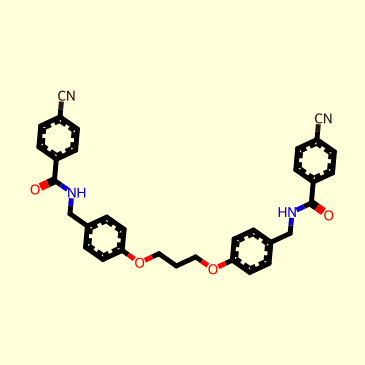 N#Cc1ccc(C(=O)NCc2ccc(OCCCOc3ccc(CNC(=O)c4ccc(C#N)cc4)cc3)cc2)cc1